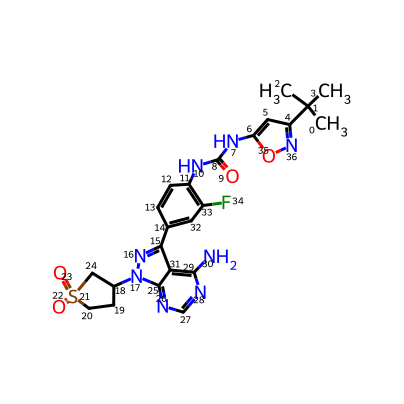 CC(C)(C)c1cc(NC(=O)Nc2ccc(-c3nn(C4CCS(=O)(=O)C4)c4ncnc(N)c34)cc2F)on1